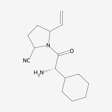 C=CC1CCC(C#N)N1C(=O)[C@@H](N)C1CCCCC1